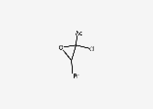 CC(=O)C1(Cl)OC1C(C)C